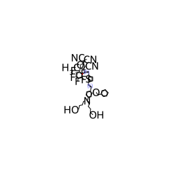 CC1(c2c(F)c(F)c(F)c(F)c2F)OC(=C(C#N)C#N)C(C#N)=C1/C=C/c1ccc(/C=C/c2ccc(N(CCCCO)CCCCO)cc2OCc2ccccc2)s1